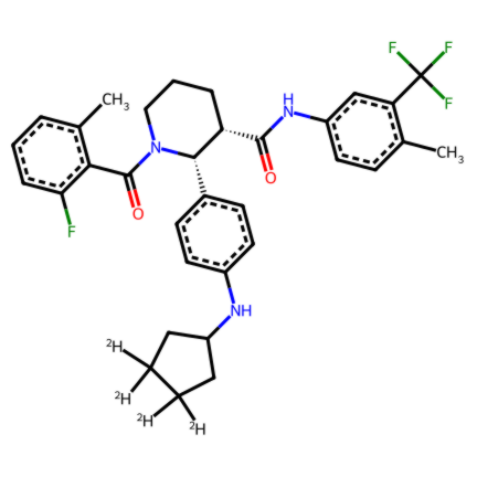 [2H]C1([2H])CC(Nc2ccc([C@H]3[C@@H](C(=O)Nc4ccc(C)c(C(F)(F)F)c4)CCCN3C(=O)c3c(C)cccc3F)cc2)CC1([2H])[2H]